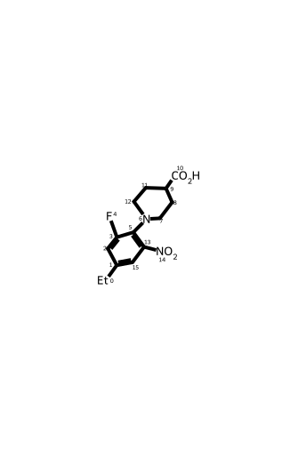 CCc1cc(F)c(N2CCC(C(=O)O)CC2)c([N+](=O)[O-])c1